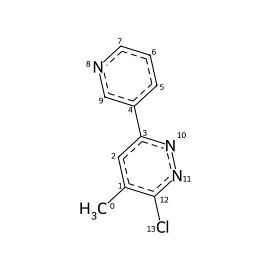 Cc1cc(-c2cccnc2)nnc1Cl